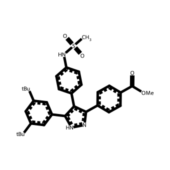 COC(=O)c1ccc(-c2n[nH]c(-c3cc(C(C)(C)C)cc(C(C)(C)C)c3)c2-c2ccc(NS(C)(=O)=O)cc2)cc1